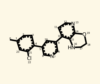 Cc1ccc(-c2cncc(-c3ccnc4c3NCCO4)c2)c(Cl)c1